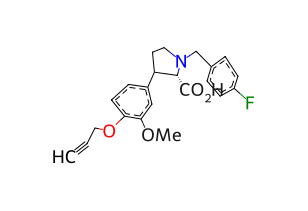 C#CCOc1ccc(C2CCN(Cc3ccc(F)cc3)[C@@H]2C(=O)O)cc1OC